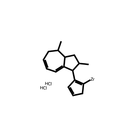 CC1CC=CC=C2C1CC(C)C2C1=[C]([Zr])CC=C1.Cl.Cl